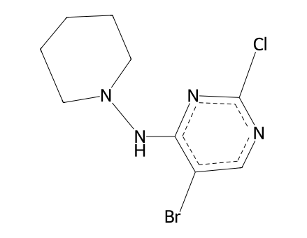 Clc1ncc(Br)c(NN2CCCCC2)n1